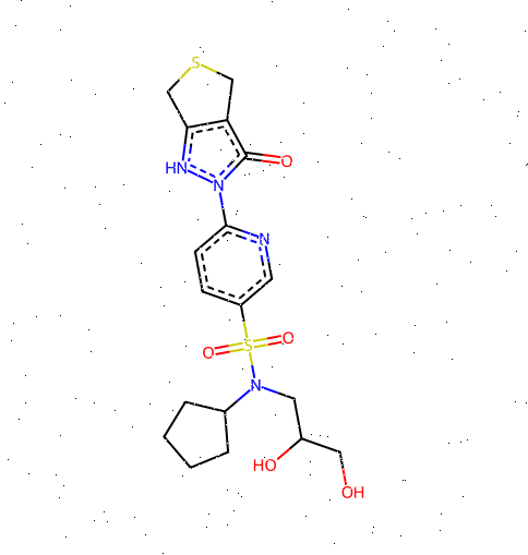 O=c1c2c([nH]n1-c1ccc(S(=O)(=O)N(CC(O)CO)C3CCCC3)cn1)CSC2